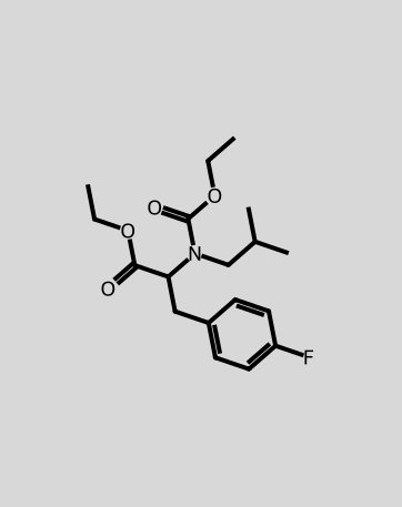 CCOC(=O)C(Cc1ccc(F)cc1)N(CC(C)C)C(=O)OCC